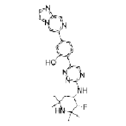 CC1(C)C[C@H](Nc2ncc(-c3ccc(-c4cn5ccnc5cn4)cc3O)nn2)[C@H](F)C(C)(C)N1